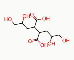 O=C(O)C(CC(O)CO)C(CC(O)CO)C(=O)O